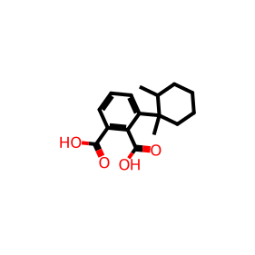 CC1CCCCC1(C)c1cccc(C(=O)O)c1C(=O)O